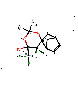 CC1(C)OC2(CC3C=CC2C3)C(F)(F)C(O)(C(F)(F)F)O1